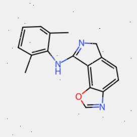 Cc1cccc(C)c1NC1=NCc2ccc3ncoc3c21